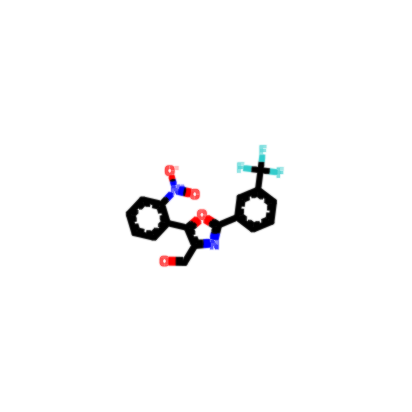 O=Cc1nc(-c2cccc(C(F)(F)F)c2)oc1-c1ccccc1[N+](=O)[O-]